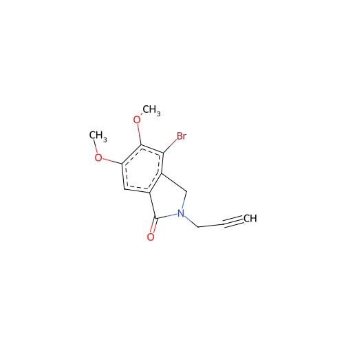 C#CCN1Cc2c(cc(OC)c(OC)c2Br)C1=O